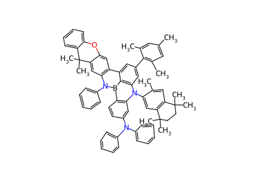 Cc1cc(C)c(-c2cc3c4c(c2)N(c2cc5c(cc2C)C(C)(C)CCC5(C)C)c2cc(N(c5ccccc5)c5ccccc5)ccc2B4N(c2ccccc2)c2cc4c(cc2-3)Oc2ccccc2C4(C)C)c(C)c1